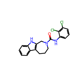 O=C(Nc1cccc(Cl)c1Cl)N1CCCc2c([nH]c3ccccc23)C1